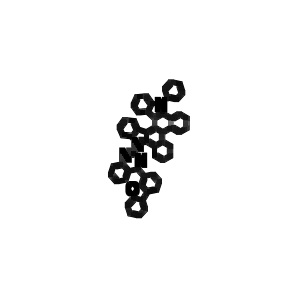 c1ccc(-n2c3ccccc3c3c4c(c5ccccc5c32)c2ccccc2c2c4c3ccccc3n2-c2nc(-c3cccc4c3oc3ccccc34)c3ccccc3n2)cc1